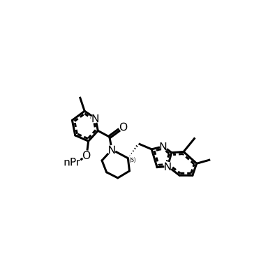 CCCOc1ccc(C)nc1C(=O)N1CCCC[C@H]1Cc1cn2ccc(C)c(C)c2n1